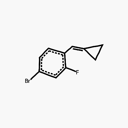 Fc1cc(Br)ccc1C=C1CC1